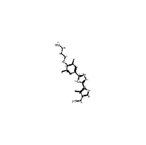 Cc1cc(-c2nnc(-c3scc(CC(C)C)c3C)o2)cc(C)c1OCCCO